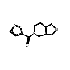 O=C(c1ccon1)N1CCC2CNCC2C1